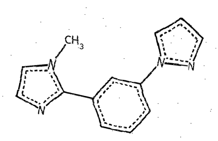 Cn1ccnc1-c1cccc(-n2cccn2)c1